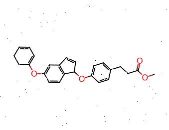 COC(=O)CCc1ccc(OC2C=Cc3cc(OC4=CC=CCC4)ccc32)cc1